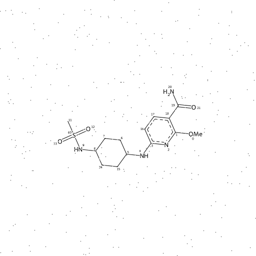 COc1nc(NC2CCC(NS(C)(=O)=O)CC2)ccc1C(N)=O